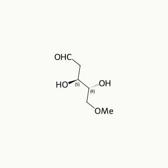 COC[C@@H](O)[C@@H](O)CC=O